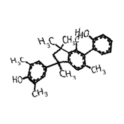 Cc1cc(C2(C)CC(C)(C)c3c2cc(C)c(-c2ccccc2O)c3C)cc(C)c1O